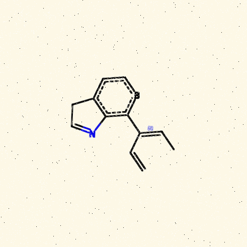 C=C/C(=C\C)c1bccc2c1N=CC2